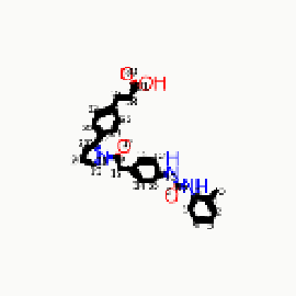 Cc1ccccc1NC(=O)Nc1ccc(CC(=O)N2CCCC2c2ccc(CCC(=O)O)cc2)cc1